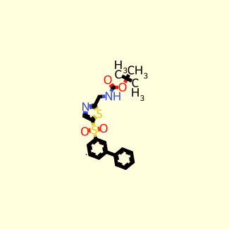 CC(C)(C)OC(=O)NCc1ncc(S(=O)(=O)c2c[c]cc(-c3ccccc3)c2)s1